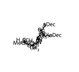 CCCCCCCCCCCCCC(=O)OCC(Cn1cc(CCC(=O)C(C)(C)OCCC(C)(C)OC)nn1)OC(=O)CCCCCCCCCCCCC